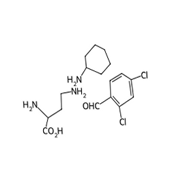 NC1CCCCC1.NCCC(N)C(=O)O.O=Cc1ccc(Cl)cc1Cl